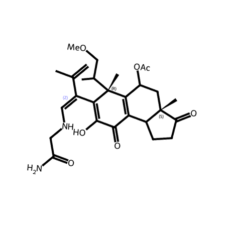 C=C(C)/C(=C/NCC(N)=O)C1=C(O)C(=O)C2=C(C(OC(C)=O)C[C@]3(C)C(=O)CCC23)[C@@]1(C)C(C)COC